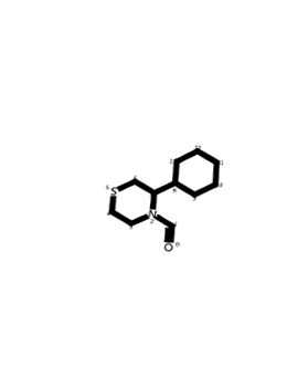 O=CN1CCSCC1C1CCCCC1